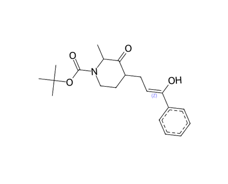 CC1C(=O)C(C/C=C(\O)c2ccccc2)CCN1C(=O)OC(C)(C)C